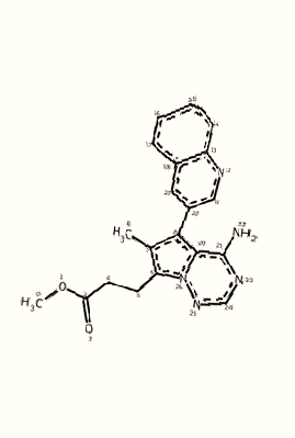 COC(=O)CCc1c(C)c(-c2cnc3ccccc3c2)c2c(N)ncnn12